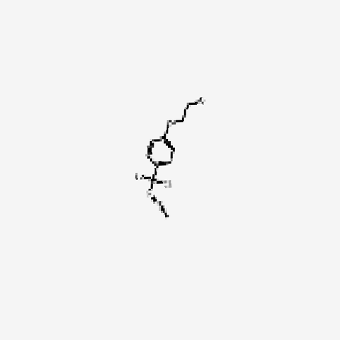 CCC(CC)(N=[N+]=[N-])c1ccc(OCCBr)cc1